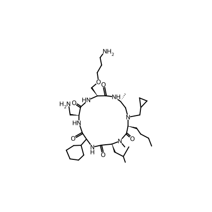 CCCC[C@H]1C(=O)N(C)[C@@H](CC(C)C)C(=O)NC(C2CCCCC2)C(=O)N[C@@H](CN)C(=O)N[C@@H](COCCCN)C(=O)N[C@H](C)CN1CC1CC1